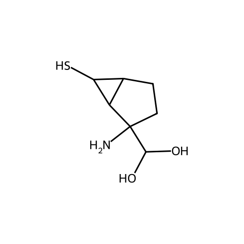 NC1(C(O)O)CCC2C(S)C21